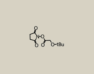 CC(C)(C)OCC(=O)ON1C(=O)CCC1=O